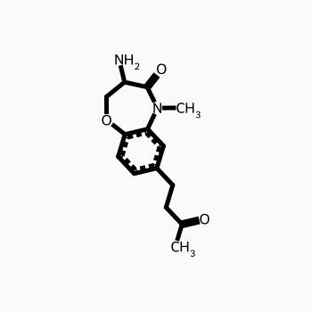 CC(=O)CCc1ccc2c(c1)N(C)C(=O)C(N)CO2